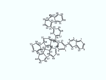 c1cc(-c2ccc3ccccc3c2)cc(N(c2cccc(-c3cccc4sc5ccccc5c34)c2)c2ccc3c(c2)C2(c4ccccc4-c4ccccc42)c2ccccc2-3)c1